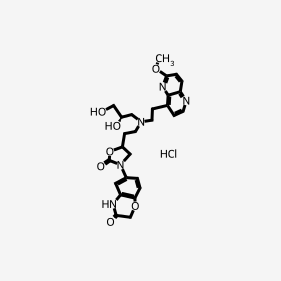 COc1ccc2nccc(CCN(CCC3CN(c4ccc5c(c4)NC(=O)CO5)C(=O)O3)C[C@@H](O)CO)c2n1.Cl